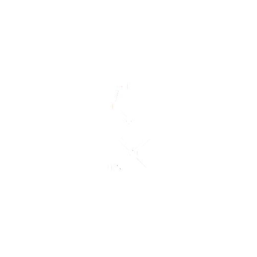 O=PO.[CH2]=[Zn](=[CH2])(=[CH2])[NH2]